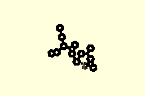 CC1(C)c2ccccc2-c2ccc(N(c3ccccc3)c3cccc(-c4ccccc4-c4ccc5c(c4)c4ccccc4n5-c4cc(-c5ccc(-c6ccccc6)cc5)cc(-c5ccc6ccccc6c5)c4)c3)cc21